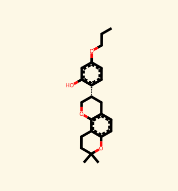 CCCOc1ccc([C@H]2COc3c(ccc4c3CCC(C)(C)O4)C2)c(O)c1